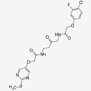 COc1ncc(OCC(=O)NCCC(=O)CNC(=O)COc2ccc(Cl)c(F)c2)cn1